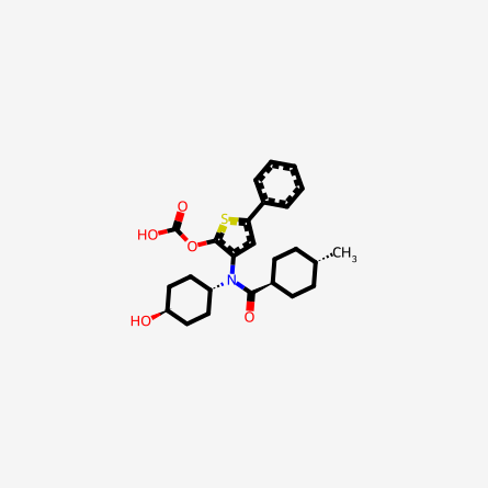 C[C@H]1CC[C@H](C(=O)N(c2cc(-c3ccccc3)sc2OC(=O)O)[C@H]2CC[C@H](O)CC2)CC1